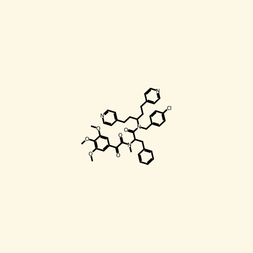 COc1cc(C(=O)C(=O)N(C)C(Cc2ccccc2)C(=O)N(Cc2ccc(Cl)cc2)C(CCc2ccncc2)CCc2ccncc2)cc(OC)c1OC